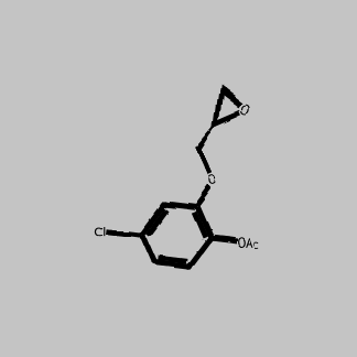 CC(=O)Oc1ccc(Cl)cc1OC[C@H]1CO1